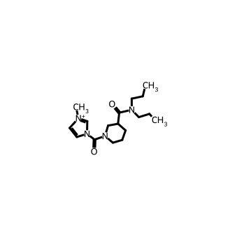 CCCN(CCC)C(=O)C1CCCN(C(=O)n2cc[n+](C)c2)C1